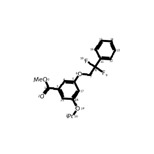 COC(=O)c1cc(OCC(F)(F)c2ccccc2)cc(OC(C)C)c1